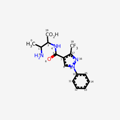 CC(N)C(NC(=O)c1cn(-c2ccccc2)nc1C(F)(F)F)C(=O)O